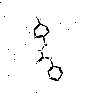 O=C(NNc1ccc(C(F)(F)F)cn1)Oc1ccccc1